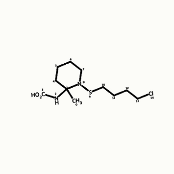 CC1(NC(=O)O)CCCCN1SCCCCCl